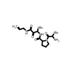 C=CCNC(=O)C(=O)C(CCCC)NC(=O)C1CCCN1C(=O)C(N)C(C)(C)C